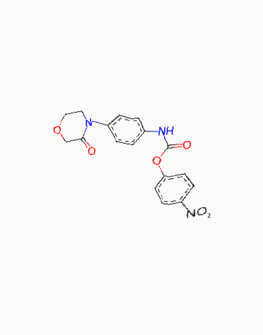 O=C(Nc1ccc(N2CCOCC2=O)cc1)Oc1ccc([N+](=O)[O-])cc1